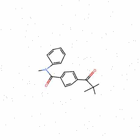 CN(C(=O)c1ccc(C(=O)C(C)(C)C)cc1)c1ccccc1